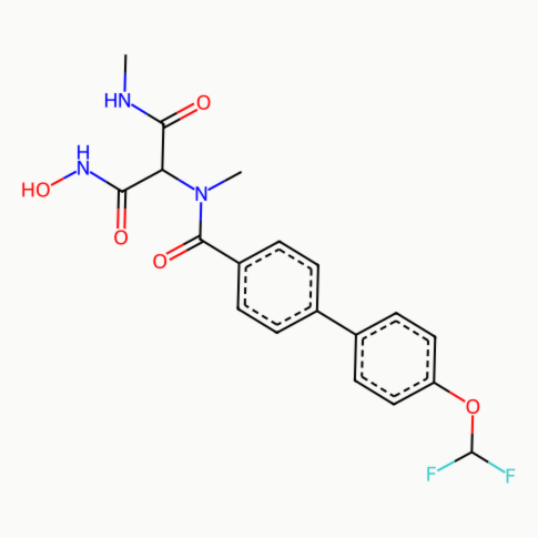 CNC(=O)C(C(=O)NO)N(C)C(=O)c1ccc(-c2ccc(OC(F)F)cc2)cc1